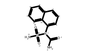 NC(=O)N(c1cccc2ccccc12)S(N)(=O)=O